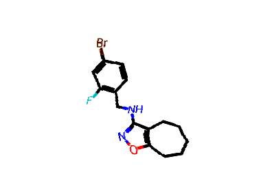 Fc1cc(Br)ccc1CNc1noc2c1CCCCC2